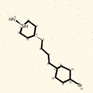 CCC[Si@H]1CC[C@H](CCCCC2CCC(Br)CC2)CC1